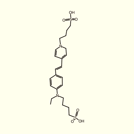 CCN(CCCCS(=O)(=O)O)c1ccc(C=CC2=CCN(CCCCS(=O)(=O)O)C=C2)cc1